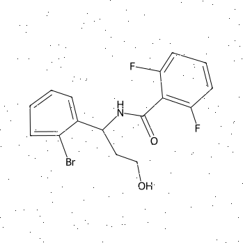 O=C(NC(CCO)c1ccccc1Br)c1c(F)cccc1F